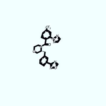 O=C(c1ccc(C(F)(F)F)cc1-n1nccn1)N1CCOC[C@H]1Cc1cccc(-c2ncon2)c1